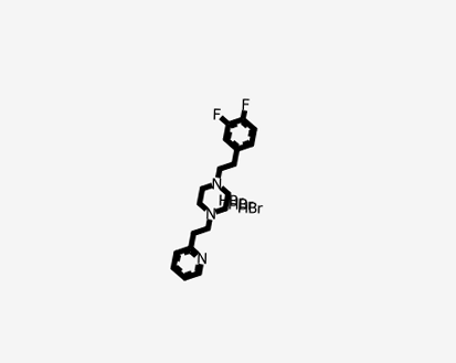 Br.Br.Br.Fc1ccc(CCN2CCN(CCc3ccccn3)CC2)cc1F